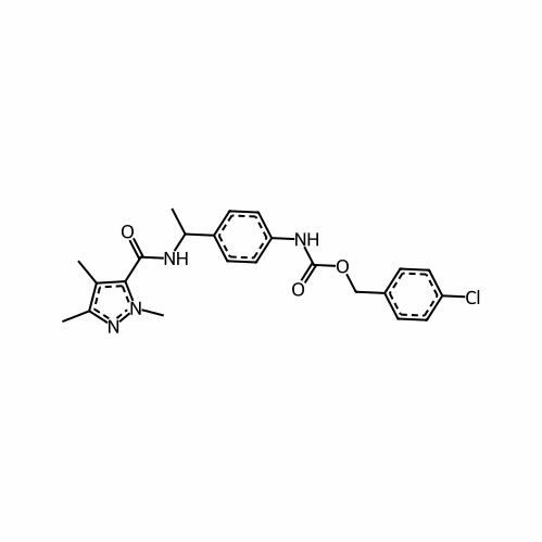 Cc1nn(C)c(C(=O)NC(C)c2ccc(NC(=O)OCc3ccc(Cl)cc3)cc2)c1C